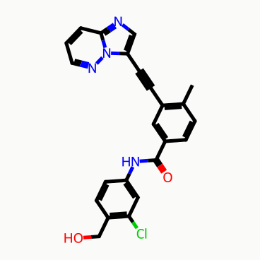 Cc1ccc(C(=O)Nc2ccc(CO)c(Cl)c2)cc1C#Cc1cnc2cccnn12